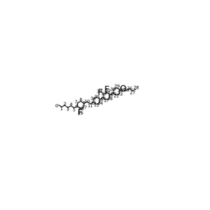 CCCCCCC1CCC(CCC2CCC(C3CCC(C4CCC(OCCCC)CC4)C(F)C3F)CC2)CC1F